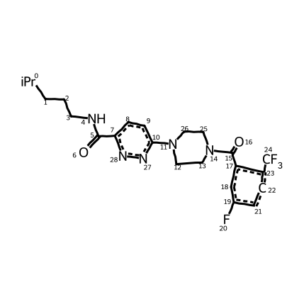 CC(C)CCCNC(=O)c1ccc(N2CCN(C(=O)c3cc(F)ccc3C(F)(F)F)CC2)nn1